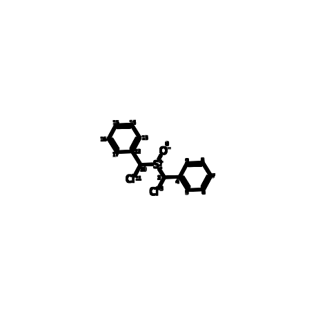 [O-][S+](C(Cl)c1ccccc1)C(Cl)c1ccccc1